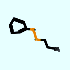 CCC[P][P]c1ccccc1